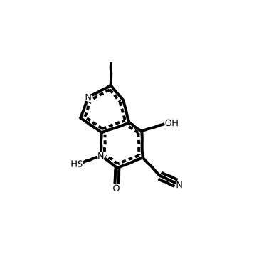 Cc1cc2c(O)c(C#N)c(=O)n(S)c2cn1